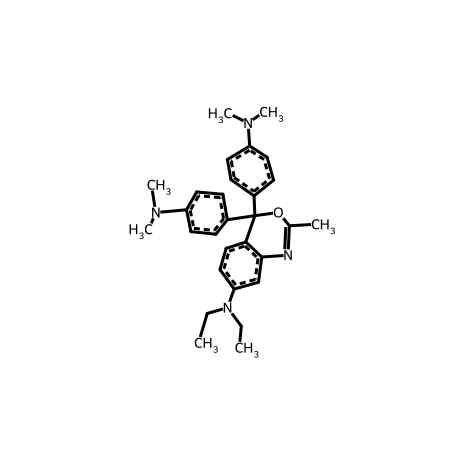 CCN(CC)c1ccc2c(c1)N=C(C)OC2(c1ccc(N(C)C)cc1)c1ccc(N(C)C)cc1